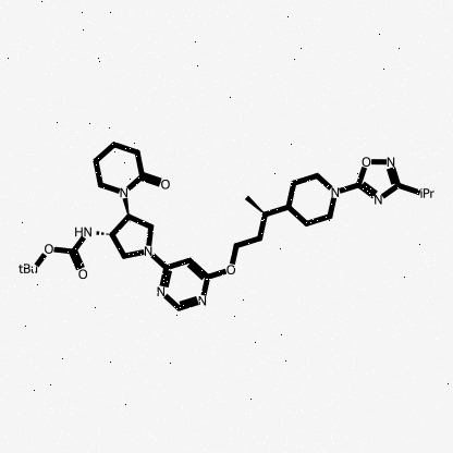 CC(C)c1noc(N2CCC([C@H](C)CCOc3cc(N4C[C@H](NC(=O)OC(C)(C)C)[C@@H](N5CCCCC5=O)C4)ncn3)CC2)n1